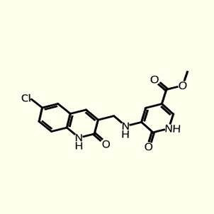 COC(=O)c1c[nH]c(=O)c(NCc2cc3cc(Cl)ccc3[nH]c2=O)c1